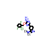 CCN(CC)c1cn(C)c2ccc(-c3cnc(N)c(OCc4c(F)ccc(F)c4Cl)n3)cc12